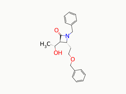 C[C@@H](O)[C@H]1C(=O)N(Cc2ccccc2)[C@@H]1CCOCc1ccccc1